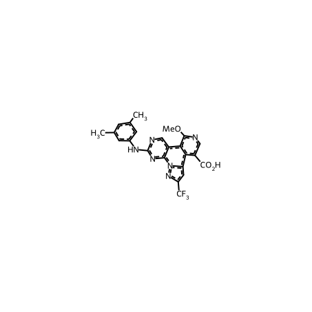 COc1ncc(C(=O)O)c2c1c1cnc(Nc3cc(C)cc(C)c3)nc1n1nc(C(F)(F)F)cc21